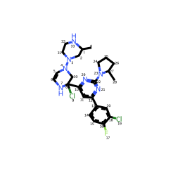 CC1CN(N2C=CNC(Cl)(c3cc(-c4ccc(F)c(Cl)c4)nc(N4CCCC4C)n3)C2)CCN1